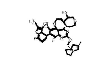 C[C@H]1CN2CCC[C@@]2(COc2nc3c4c(c(Cl)c(-c5ccc(F)c6sc(N)c(C#N)c56)c(F)c4n2)OCCC2C(O)COCCN32)C1